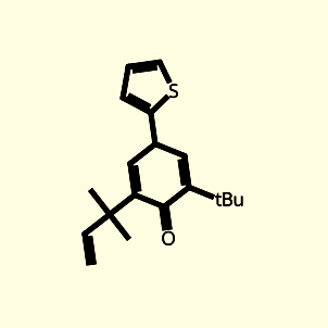 C=CC(C)(C)C1=CC(c2cccs2)C=C(C(C)(C)C)C1=O